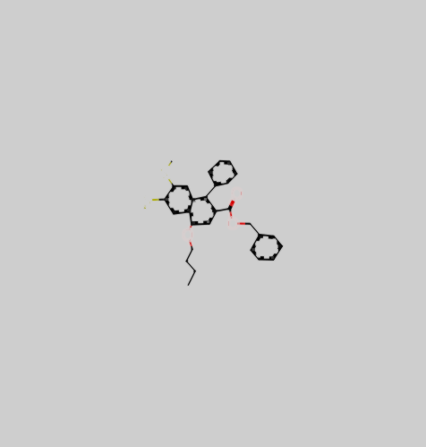 CCCCOc1cc(C(=O)OCc2ccccc2)c(-c2ccccc2)c2cc(SC)c(SC)cc12